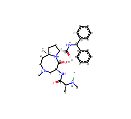 C[C@@H](C(=O)N[C@H]1CN(C)CC[C@H]2CC[C@@H](C(=O)NC(c3ccccc3)c3ccccc3)N2C1=O)N(C)Cl